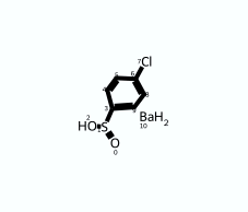 O=S(O)c1ccc(Cl)cc1.[BaH2]